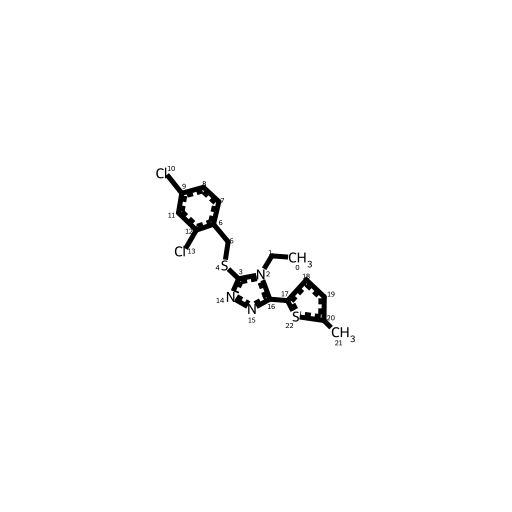 CCn1c(SCc2ccc(Cl)cc2Cl)nnc1-c1ccc(C)s1